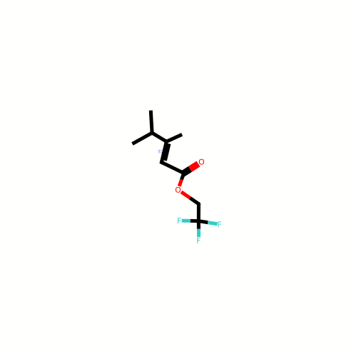 C/C(=C\C(=O)OCC(F)(F)F)C(C)C